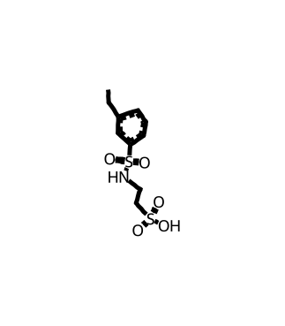 CCc1cccc(S(=O)(=O)NCCS(=O)(=O)O)c1